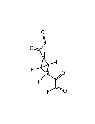 O=CC(=O)[SiH]1C2(F)C1(F)[Si]2(F)C(=O)C(=O)F